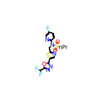 CCCS(=O)(=O)N(Cc1ncc(-c2nnc(C(F)F)o2)s1)c1ccc(F)cn1